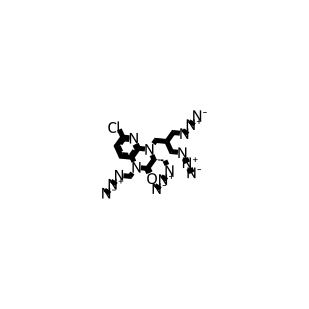 [N-]=[N+]=NCC(CN=[N+]=[N-])CN1c2nc(Cl)ccc2N(CN=[N+]=[N-])C(=O)[C@H]1CN=[N+]=[N-]